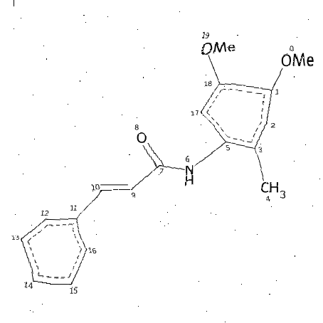 COc1cc(C)c(NC(=O)/C=C/c2ccccc2)cc1OC